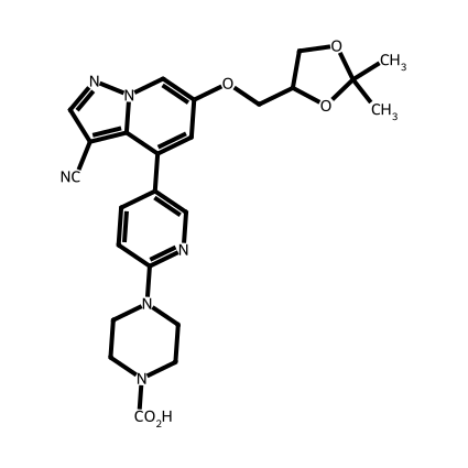 CC1(C)OCC(COc2cc(-c3ccc(N4CCN(C(=O)O)CC4)nc3)c3c(C#N)cnn3c2)O1